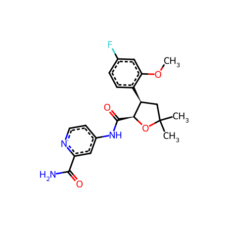 COc1cc(F)ccc1[C@H]1CC(C)(C)O[C@H]1C(=O)Nc1ccnc(C(N)=O)c1